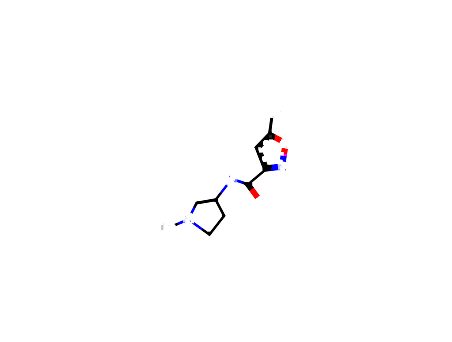 CC(C)N1CCC(NC(=O)c2cc(C(C)(C)C)on2)C1